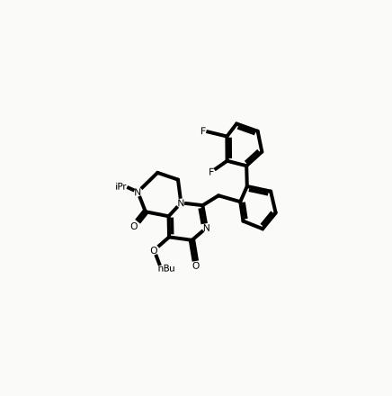 CCCCOc1c2n(c(Cc3ccccc3-c3cccc(F)c3F)nc1=O)CCN(C(C)C)C2=O